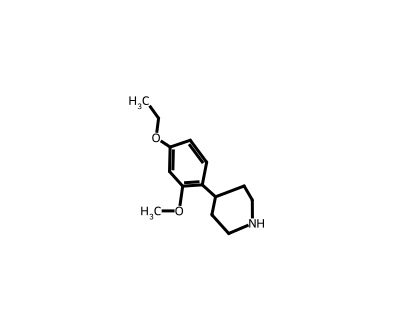 CCOc1ccc(C2CCNCC2)c(OC)c1